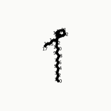 CCCCCCCCCCCCCC(CCCC)C1=CC2CCC1C2